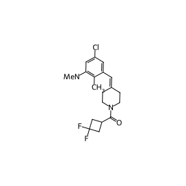 CNc1cc(Cl)cc(C=C2CCN(C(=O)C3CC(F)(F)C3)CC2)c1C